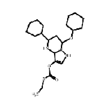 CCOC(=O)OC1=CNN2C(OC3CCCCC3)CC(C3CCCCC3)NC12